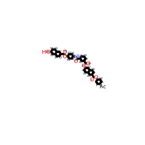 CC(=O)c1ccc(OC(=O)c2ccc3cc(OC(=O)c4cccc(C(=O)Nc5ccc(OC(=O)c6ccc7cc(O)ccc7c6)cc5)c4)ccc3c2)cc1